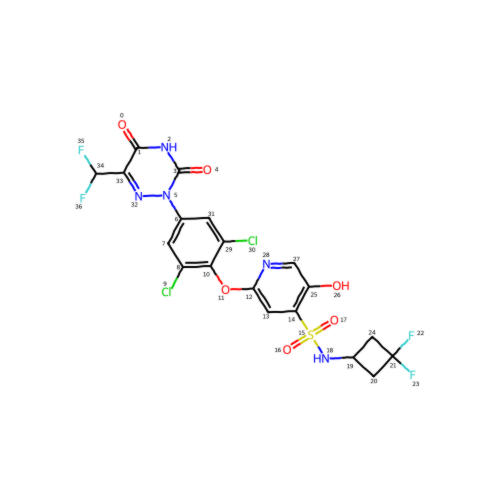 O=c1[nH]c(=O)n(-c2cc(Cl)c(Oc3cc(S(=O)(=O)NC4CC(F)(F)C4)c(O)cn3)c(Cl)c2)nc1C(F)F